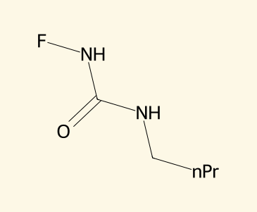 CCCCNC(=O)NF